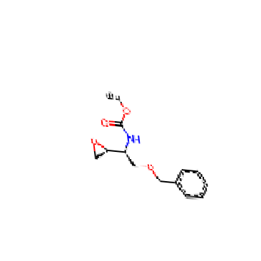 CC(C)(C)OC(=O)N[C@@H](COCc1ccccc1)[C@H]1CO1